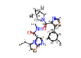 CCc1csc2ncc(C(=O)NC[C@@H]3[C@H]4C[C@H]4CN3C(=O)c3ncsc3-c3cccc(C)c3)n12